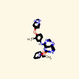 C=CC(=O)N1C2CCC1CC(Oc1ncc3ncnc(Nc4ccc(Oc5ccn6ncnc6c5)c(C)c4)c3n1)C2